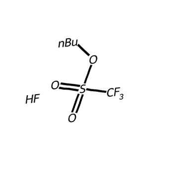 CCCCOS(=O)(=O)C(F)(F)F.F